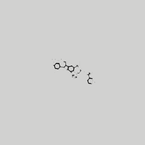 CNC(=O)c1c(-c2ccc(C)cc2)oc2cc3c(cc12)[C@H](C)O[C@H](COC(=O)c1cccnc1)CN3S(C)(=O)=O